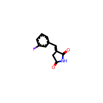 O=C1C/C(=C\c2cccc(I)c2)C(=O)N1